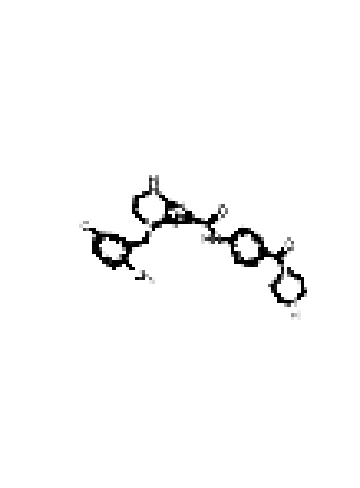 O=C(Nc1ccc(C(=O)N2CCNCC2)cc1)c1c2c3c(n1-2)NCCN3Cc1cc(Cl)ccc1C(F)(F)F